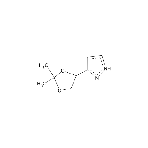 CC1(C)OCC(c2cc[nH]n2)O1